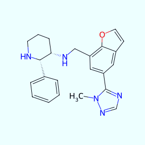 Cn1ncnc1-c1cc(CN[C@H]2CCCN[C@H]2c2ccccc2)c2occc2c1